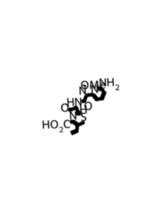 C=CC1=C(C(=O)O)N2C(=O)C(NC(=O)C(=NOC)c3cccc(N)n3)[C@@H]2SC1